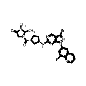 CC1N(C)C(=O)CN1C(=O)[C@@H]1CC[C@@H](Nc2ncc3c(Br)nn(-c4cc(F)c5ncccc5c4)c3n2)C1